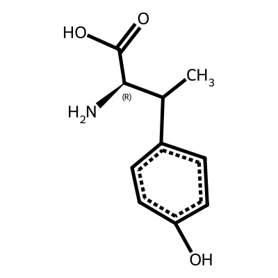 CC(c1ccc(O)cc1)[C@@H](N)C(=O)O